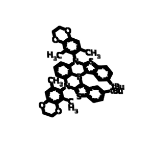 Cc1cc2c(c(C)c1N1c3cccc4c3B(c3c1sc1ccc(C(C)(C)C)cc31)c1c(sc3ccc(C(C)(C)C)cc13)N4c1c(C)cc3c(c1C)OCCO3)OCCO2